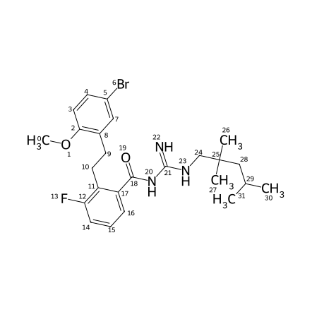 COc1ccc(Br)cc1CCc1c(F)cccc1C(=O)NC(=N)NCC(C)(C)CC(C)C